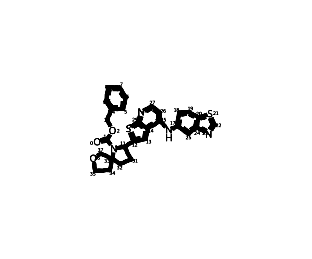 O=C(OCc1ccccc1)N1C(c2cc3c(Nc4ccc5scnc5c4)ccnc3s2)CCC12CCOC2